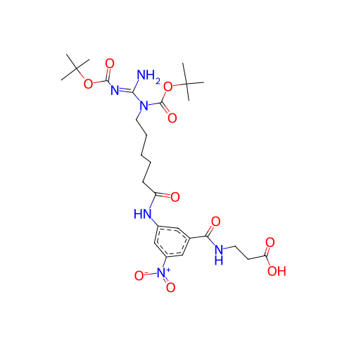 CC(C)(C)OC(=O)N=C(N)N(CCCCCC(=O)Nc1cc(C(=O)NCCC(=O)O)cc([N+](=O)[O-])c1)C(=O)OC(C)(C)C